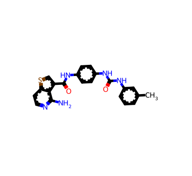 Cc1cccc(NC(=O)Nc2ccc(NC(=O)c3csc4ccnc(N)c34)cc2)c1